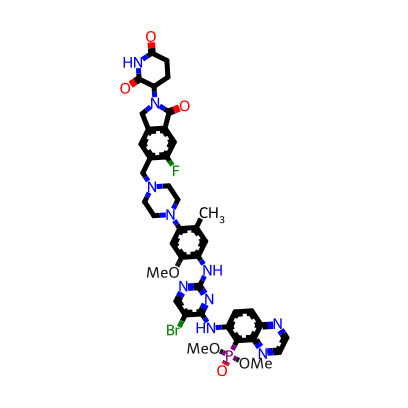 COc1cc(N2CCN(Cc3cc4c(cc3F)C(=O)N(C3CCC(=O)NC3=O)C4)CC2)c(C)cc1Nc1ncc(Br)c(Nc2ccc3nccnc3c2P(=O)(OC)OC)n1